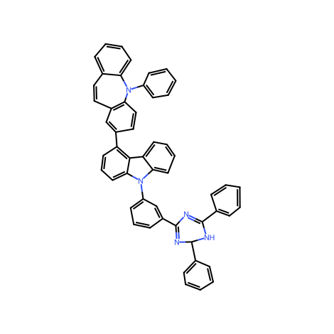 C1=Cc2cc(-c3cccc4c3c3ccccc3n4-c3cccc(C4=NC(c5ccccc5)NC(c5ccccc5)=N4)c3)ccc2N(c2ccccc2)c2ccccc21